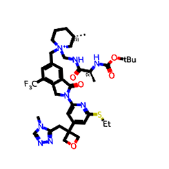 CCSc1cc(C2(Cc3nncn3C)COC2)cc(N2Cc3c(cc(C[N+]4(CNC(=O)[C@H](C)NC(=O)OC(C)(C)C)CCC[C@H](C)C4)cc3C(F)(F)F)C2=O)n1